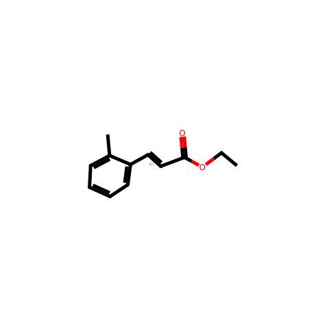 CCOC(=O)/C=C/c1ccccc1C